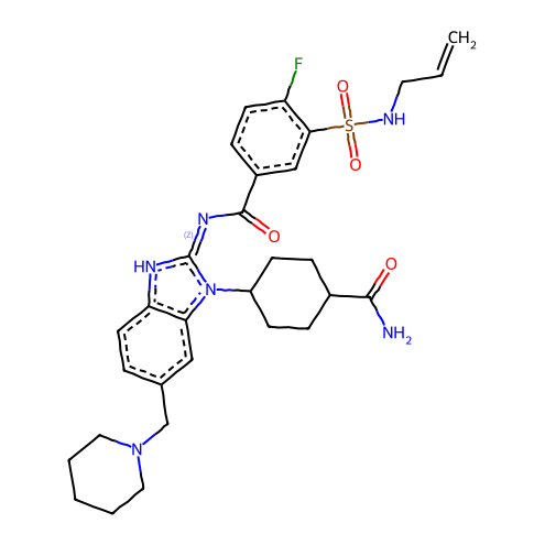 C=CCNS(=O)(=O)c1cc(C(=O)/N=c2/[nH]c3ccc(CN4CCCCC4)cc3n2C2CCC(C(N)=O)CC2)ccc1F